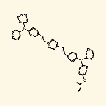 C=CC(=O)Oc1ccc(N(c2ccccc2)c2ccc(/C=C/c3ccc(/C=C/c4ccc(N(c5ccccc5)c5ccccc5)cc4)cc3)cc2)cc1